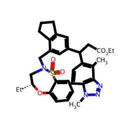 CCOC(=O)CC(c1cc2c(c(CN3C[C@@H](CC)Oc4ccccc4S3(=O)=O)c1)CCC2)c1ccc2c(nnn2C)c1C